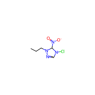 CCCN1N=CN(Cl)C1[N+](=O)[O-]